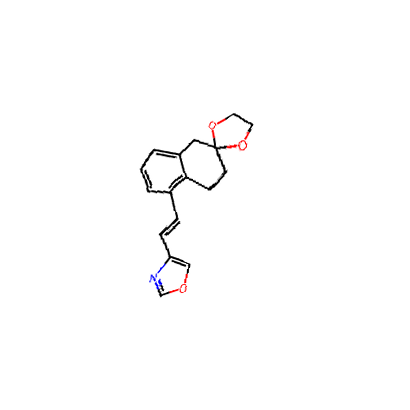 C(=Cc1cccc2c1CCC1(C2)OCCO1)c1cocn1